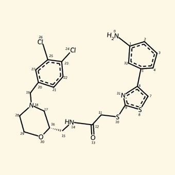 Nc1cccc(-c2csc(SCC(=O)NC[C@H]3CN(Cc4ccc(Cl)c(Cl)c4)CCO3)n2)c1